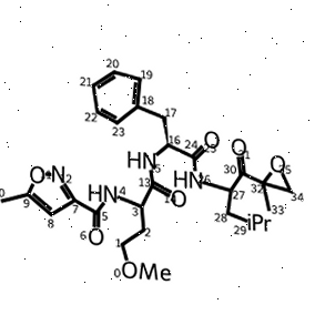 COCCC(NC(=O)c1cc(C)on1)C(=O)N[C@@H](Cc1ccccc1)C(=O)NC(CC(C)C)C(=O)C1(C)CO1